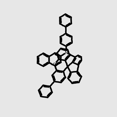 c1ccc(-c2ccc(N(c3ccc4ccccc4c3)c3cccc4c3C3(c5ccccc5Oc5cc(-c6ccccc6)ccc53)c3ccccc3-4)cc2)cc1